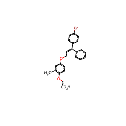 Cc1cc(OC/C=C(\c2ccccc2)c2ccc(Br)cc2)ccc1OCC(=O)O